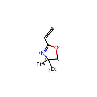 C=CC1=NC(CC)(CC)CO1